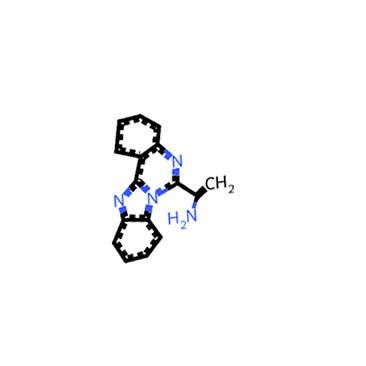 C=C(N)c1nc2ccccc2c2nc3ccccc3n12